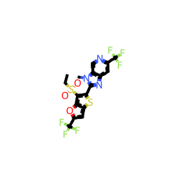 CCS(=O)(=O)c1c(-c2nc3cc(C(F)(F)F)ncc3n2C)sc2cc(C(F)(F)F)oc12